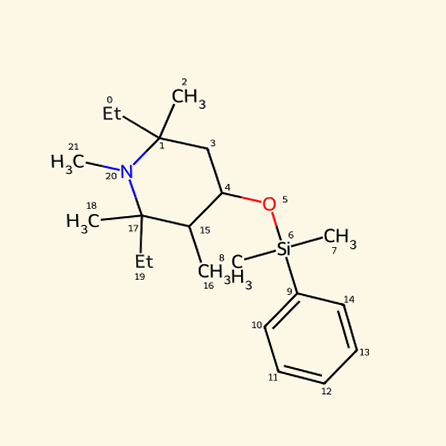 CCC1(C)CC(O[Si](C)(C)c2ccccc2)C(C)C(C)(CC)N1C